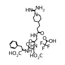 N=C(N)N1CCC(CCC(=O)NCC(=O)N[C@@H](CC(=O)O)C(=O)N[C@@H](Cc2ccccc2)C(=O)O)CC1.O=C(O)C(F)(F)F